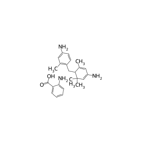 CC1=CC(N)=CC(C)(C)C1Cc1ccc(N)cc1C.Nc1ccccc1C(=O)O